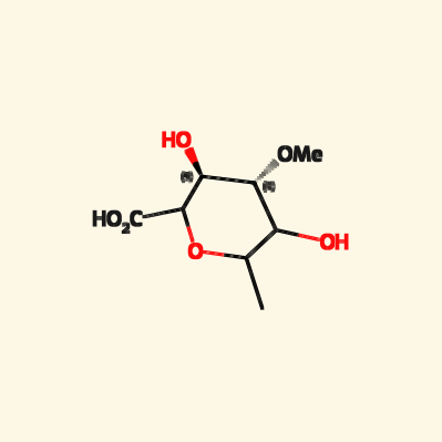 CO[C@@H]1C(O)C(C)OC(C(=O)O)[C@H]1O